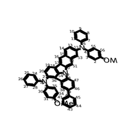 COc1ccc(N(c2ccccc2)c2ccc3cc4c5ccc(N(c6ccccc6)c6ccc(OC)cc6)c6c7cc(-c8ccccc8)ccc7n(c4cc3c2)c56)cc1